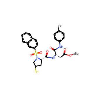 CC(C)c1ccc(NC(=O)[C@H](CC(=O)OC(C)(C)C)NC(=O)[C@@H]2C[C@@H](S)CN2S(=O)(=O)c2ccc3ccccc3c2)cc1